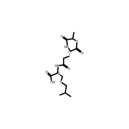 CC(C)CSC[C@H](NC(=O)CC[C@@H]1NC(=O)C(C)OC1=O)C(=O)O